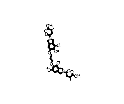 COc1cc2c(c(Cl)c1OCCCOc1cc3c(c(Cl)c1OC)CN(C(=O)C[C@H](C)C(=O)O)C3)CN(C(=O)C[C@H](C)C(=O)O)C2